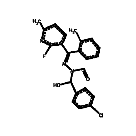 Cc1ccc(/C(=N/N(C=O)C(O)c2ccc(Cl)cc2)c2ccccc2C)c(F)n1